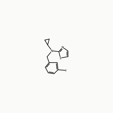 Ic1cccc(CN(c2nccs2)C2CC2)c1